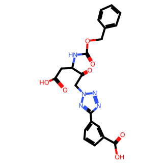 O=C(O)CC(NC(=O)OCc1ccccc1)C(=O)Cn1nnc(-c2cccc(C(=O)O)c2)n1